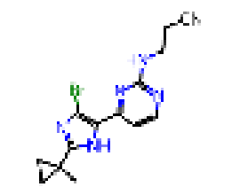 CC1(c2nc(Br)c(-c3ccnc(NCCC#N)n3)[nH]2)CC1